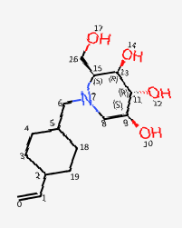 C=CC1CCC(CN2C[C@H](O)[C@@H](O)[C@H](O)[C@@H]2CO)CC1